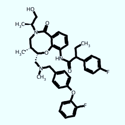 CCC(C(=O)Nc1cccc2c1O[C@H](CN(C)Cc1ccc(Oc3ccccc3F)cc1)[C@H](C)CN([C@@H](C)CO)C2=O)c1ccc(F)cc1